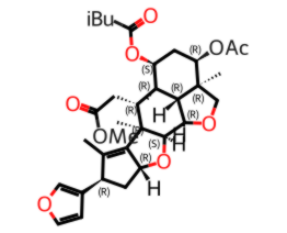 CCC(C)C(=O)O[C@H]1C[C@@H](OC(C)=O)[C@@]2(C)CO[C@H]3[C@H]4O[C@@H]5C[C@@H](c6ccoc6)C(C)=C5[C@@]4(C)[C@H](CC(=O)OC)[C@]1(C)[C@@H]32